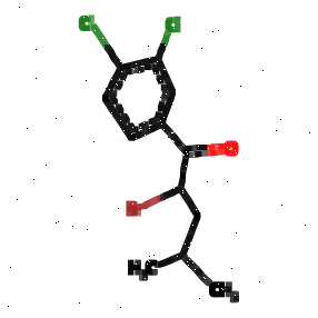 CC(C)CC(Br)C(=O)c1ccc(Cl)c(Cl)c1